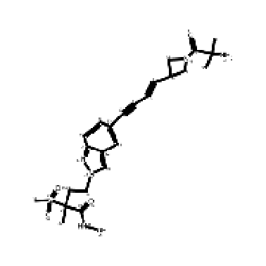 CC(C)(N)C(=O)N1CC(C#CC#Cc2ccc3nn(CCC(C)(C(=O)NO)S(C)(=O)=O)cc3c2)C1